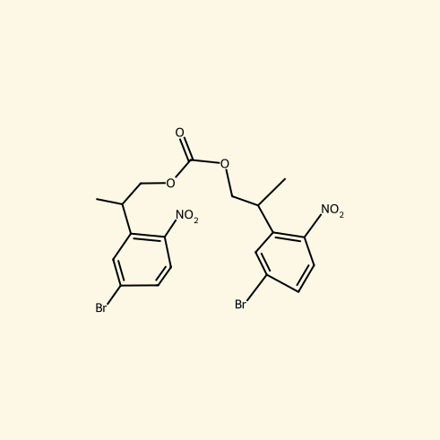 CC(COC(=O)OCC(C)c1cc(Br)ccc1[N+](=O)[O-])c1cc(Br)ccc1[N+](=O)[O-]